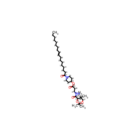 CCCCCCCCC=CCCCCCCCC(=O)N1CCC(OC(=O)CCNC(=O)C2OC(C)(C)OCC2(C)C)CC1